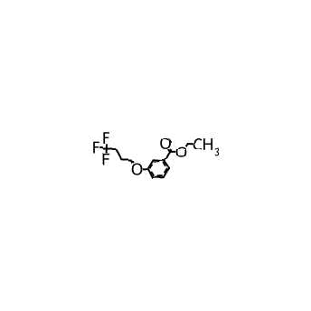 CCOC(=O)c1cccc(OCCCC(F)(F)F)c1